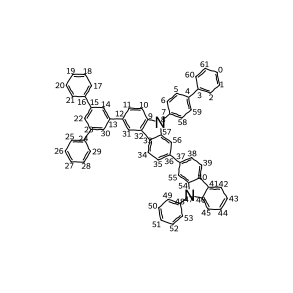 c1ccc(-c2ccc(-n3c4ccc(-c5cc(-c6ccccc6)cc(-c6ccccc6)c5)cc4c4ccc(-c5ccc6c7ccccc7n(-c7ccccc7)c6c5)cc43)cc2)cc1